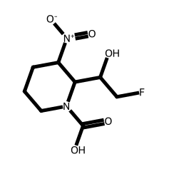 O=C(O)N1CCCC([N+](=O)[O-])C1C(O)CF